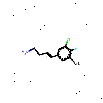 Cc1cc(/C=C/CCN)cc(Cl)c1F